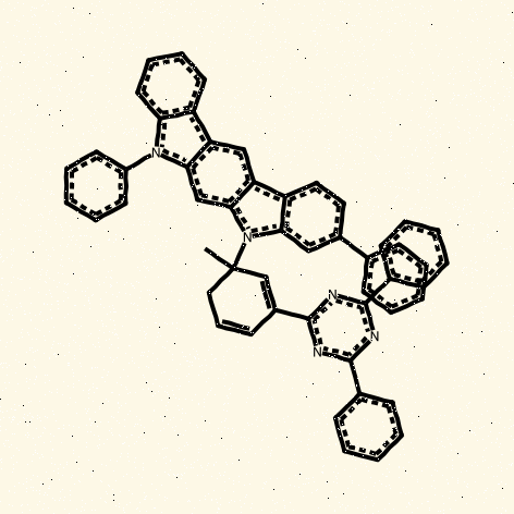 CC1(n2c3cc(-c4ccccc4)ccc3c3cc4c5ccccc5n(-c5ccccc5)c4cc32)C=C(c2nc(-c3ccccc3)nc(-c3ccccc3)n2)C=CC1